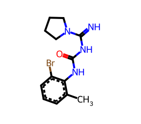 Cc1cccc(Br)c1NC(=O)NC(=N)N1CCCC1